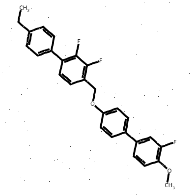 CCc1ccc(-c2ccc(COc3ccc(-c4ccc(OC)c(F)c4)cc3)c(F)c2F)cc1